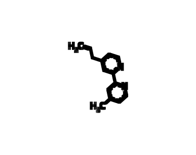 C=CCc1ccnc(-c2cc(C)ccn2)c1